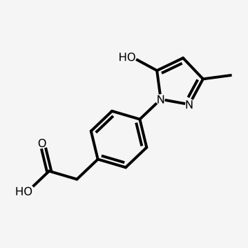 Cc1cc(O)n(-c2ccc(CC(=O)O)cc2)n1